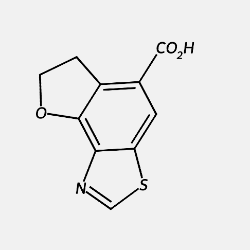 O=C(O)c1cc2scnc2c2c1CCO2